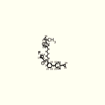 CC1(c2nc(CCCCCN(C(=O)C34CC(F)(C3)C4)c3cccc(-c4cnc(C5CC5)nc4)c3)no2)CC1